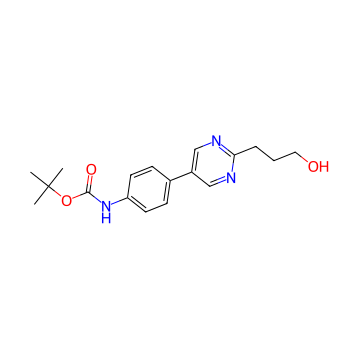 CC(C)(C)OC(=O)Nc1ccc(-c2cnc(CCCO)nc2)cc1